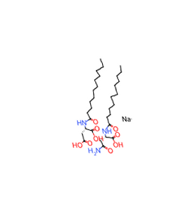 CCCCCCCCCCCC(=O)N[C@@H](CC(=O)O)C(=O)O.CCCCCCCCCCCC(=O)N[C@@H](CC(N)=O)C(=O)O.[Na]